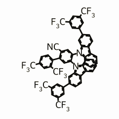 N#Cc1cc(-n2c3ccccc3c3ccc(-c4cc(C(F)(F)F)cc(C(F)(F)F)c4)cc32)c(-n2c3ccccc3c3ccc(-c4cc(C(F)(F)F)cc(C(F)(F)F)c4)cc32)cc1-c1ccc(C(F)(F)F)cc1C(F)(F)F